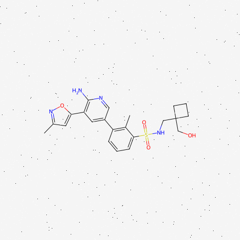 Cc1cc(-c2cc(-c3cccc(S(=O)(=O)NCC4(CO)CCC4)c3C)cnc2N)on1